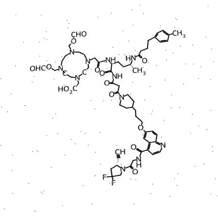 C#C[C@H]1CC(F)(F)CN1C(=O)CNC(=O)c1ccnc2ccc(OCCCC3CCN(C(=O)CC(=O)NC(=O)[C@H](CC[C@@H](C)NC(=O)CCCc4ccc(C)cc4)NC(=O)CN4CCN(COC=O)CCN(COC=O)CCN(CC(=O)O)CC4)CC3)cc12